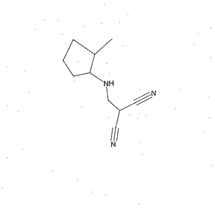 CC1CCCC1NCC(C#N)C#N